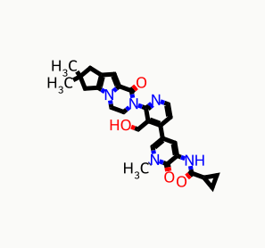 Cn1cc(-c2ccnc(N3CCn4c(cc5c4CC(C)(C)C5)C3=O)c2CO)cc(NC(=O)C2CC2)c1=O